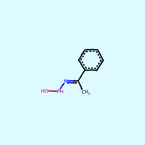 C/C(=N\PO)c1ccccc1